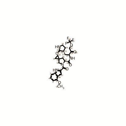 COc1cccc2[nH]c(C(=O)N3CC4(CC4)C[C@H]3C(=O)NC(C[C@@H]3CCNC3=O)C(=O)COC(F)(F)F)cc12